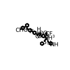 O=C(NS(=O)(=O)c1ccc(N[C@H](CCN2CCNCC2)CSc2ccccc2)c(S(=O)(=O)C(F)(F)F)c1)c1ccc(N2CCC([C@@H](O)c3ccccc3-c3ccc(Cl)cc3)CC2)cc1